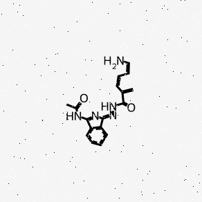 C=C(/C=C\C=C/N)C(=O)N/N=C1\N=C(NC(C)=O)c2ccccc21